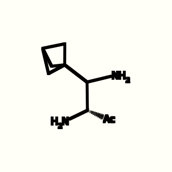 CC(=O)[C@H](N)C(N)C12CC(C1)C2